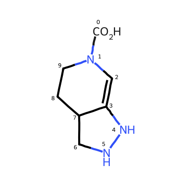 O=C(O)N1C=C2NNCC2CC1